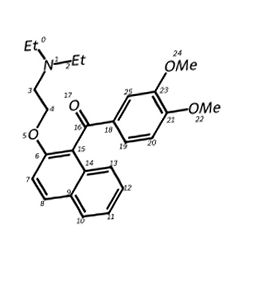 CCN(CC)CCOc1ccc2ccccc2c1C(=O)c1ccc(OC)c(OC)c1